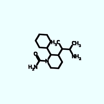 CC(N)C(C)C1CCCN(C(N)=O)C1C1CCCCC1